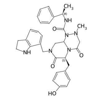 C[C@@H](NC(=O)N1C2CN(Cc3cccc4c3NCC4)C(=O)[C@H](Cc3ccc(O)cc3)N2C(=O)CN1C)c1ccccc1